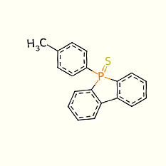 Cc1ccc(P2(=S)c3ccccc3-c3ccccc32)cc1